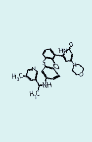 Cc1cncc(C(C)Nc2ccc3c(c2)Sc2cccc(-c4cc(N5CCOCC5)cc(=O)[nH]4)c2O3)c1